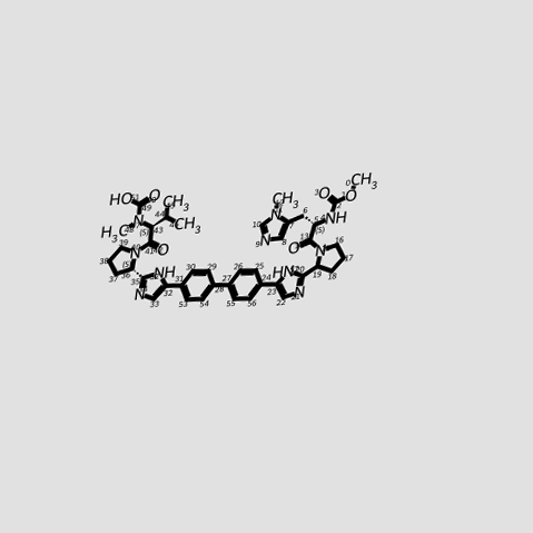 COC(=O)N[C@@H](Cc1cncn1C)C(=O)N1CCCC1c1ncc(-c2ccc(-c3ccc(-c4cnc([C@@H]5CCCN5C(=O)[C@H](C(C)C)N(C)C(=O)O)[nH]4)cc3)cc2)[nH]1